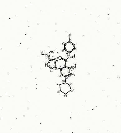 Cc1ccc(NC(=O)c2c(-c3cnc(N(C)C)s3)cc(C3CCCCC3)[nH]c2=O)cc1